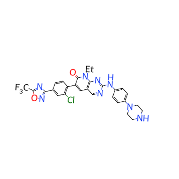 CCn1c(=O)c(-c2ccc(-c3noc(C(F)(F)F)n3)cc2Cl)cc2cnc(Nc3ccc(N4CCNCC4)cc3)nc21